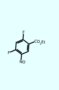 CCOC(=O)c1cc(N=O)c(F)cc1F